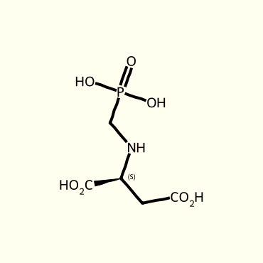 O=C(O)C[C@H](NCP(=O)(O)O)C(=O)O